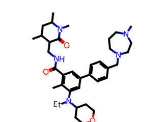 CCN(c1cc(-c2ccc(CN3CCCN(C)CC3)cc2)cc(C(=O)NCC2C(=O)N(C)C(C)CC2C)c1C)C1CCOCC1